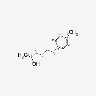 Cc1ccc(CCCCC(C)O)cc1